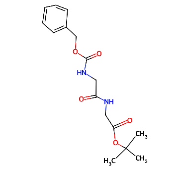 CC(C)(C)OC(=O)CNC(=O)CNC(=O)OCc1ccccc1